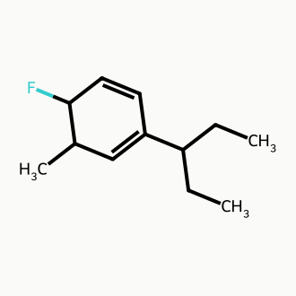 CCC(CC)C1=CC(C)C(F)C=C1